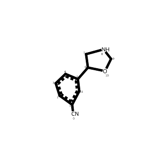 N#Cc1cccc(C2CNCO2)c1